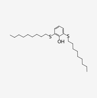 CCCCCCCCCSc1cccc(SCCCCCCCCC)c1O